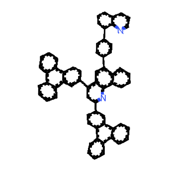 c1cnc2c(-c3ccc(-c4cc5c(-c6ccc7c8ccccc8c8ccccc8c7c6)cc(-c6ccc7c8ccccc8c8ccccc8c7c6)nc5c5ccccc45)cc3)cccc2c1